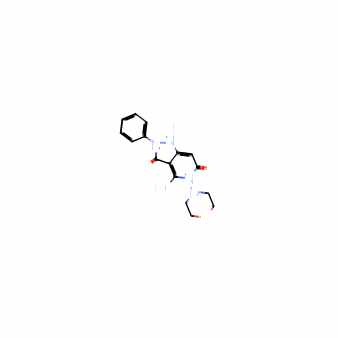 CCc1c2c(=O)n(-c3ccccc3)[nH]c2cc(=O)n1N1CCOCC1